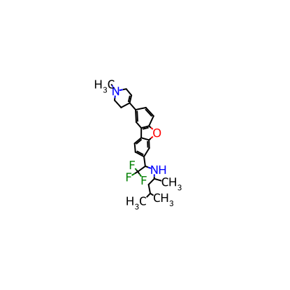 CC(C)CC(C)NC(c1ccc2c(c1)oc1ccc(C3=CCN(C)CC3)cc12)C(F)(F)F